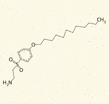 CCCCCCCCCCCCOc1ccc(S(=O)(=O)CCN)cc1